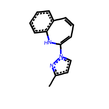 Cc1ccn(C2=CC=Cc3ccccc3N2)n1